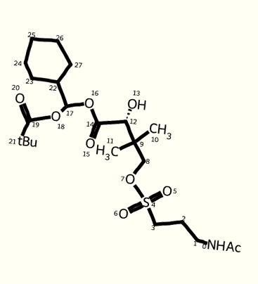 CC(=O)NCCCS(=O)(=O)OCC(C)(C)[C@@H](O)C(=O)OC(OC(=O)C(C)(C)C)C1CCCCC1